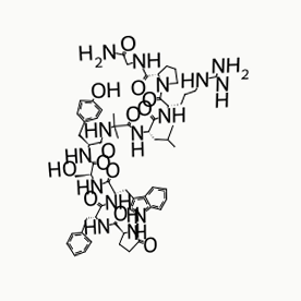 CC(C)C[C@H](NC(=O)C(C)(C)NC(=O)[C@H](Cc1ccc(O)cc1)NC(=O)[C@H](CO)NC(=O)[C@H](Cc1c[nH]c2ccccc12)NC(=O)[C@@H](Cc1ccccc1)NC(=O)[C@@H]1CCC(=O)N1)C(=O)N[C@@H](CCCNC(=N)N)C(=O)N1CCC[C@H]1C(=O)NCC(N)=O